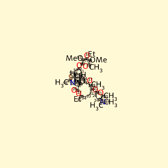 CCO[C@@H]1[C@@H](OC)[C@H](C)O[C@@H](O[C@H]2C[C@H]3[C@@H]4C=C5C(=O)[C@H](C)[C@@H](O[C@H]6CC[C@H](N(C)C)[C@@H](C)O6)CCC[C@H](CC)OC(=O)C[C@H]5[C@@H]4c4nc(C)sc4[C@@H]3C2)[C@@H]1OC